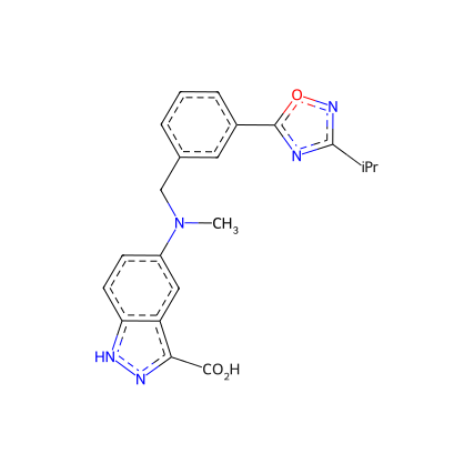 CC(C)c1noc(-c2cccc(CN(C)c3ccc4[nH]nc(C(=O)O)c4c3)c2)n1